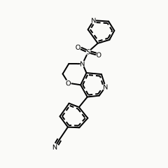 N#Cc1ccc(-c2cncc3c2OCCN3S(=O)(=O)c2cccnc2)cc1